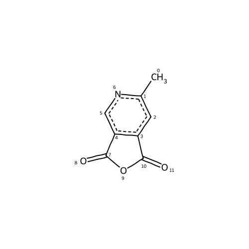 Cc1cc2c(cn1)C(=O)OC2=O